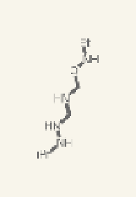 CCNOCNCNNC(C)C